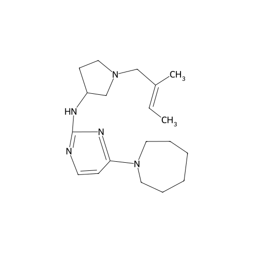 CC=C(C)CN1CCC(Nc2nccc(N3CCCCCC3)n2)C1